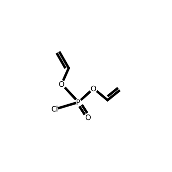 C=COP(=O)(Cl)OC=C